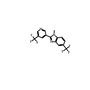 Cn1c(-c2cncc(C(F)(F)F)c2)nc2cc(C(F)(F)F)ccc21